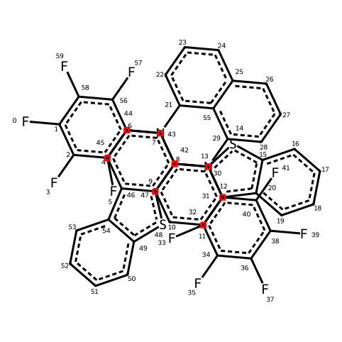 Fc1c(F)c(F)c(N(c2cccc3c2sc2ccccc23)c2cccc3cccc(N(c4c(F)c(F)c(F)c(F)c4F)c4cccc5c4sc4ccccc45)c23)c(F)c1F